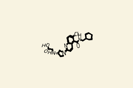 O=C(O)CN[C@H]1CCN(c2ccc3c(C(=O)NCC4CCCCC4)c(Cl)ccc3n2)C1